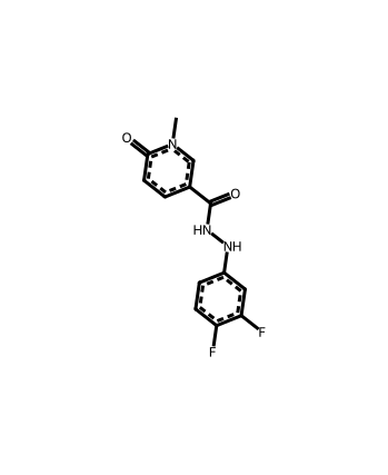 Cn1cc(C(=O)NNc2ccc(F)c(F)c2)ccc1=O